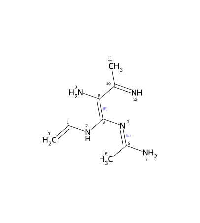 C=CNC(/N=C(\C)N)=C(\N)C(C)=N